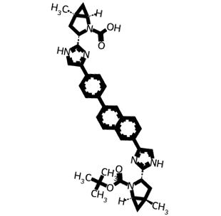 CC(C)(C)OC(=O)N1[C@H](c2nc(-c3ccc4cc(-c5ccc(-c6c[nH]c([C@@H]7C[C@@]8(C)C[C@H]8N7C(=O)O)n6)cc5)ccc4c3)c[nH]2)C[C@]2(C)C[C@@H]12